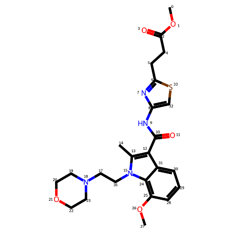 COC(=O)CCc1nc(NC(=O)c2c(C)n(CCN3CCOCC3)c3c(OC)cccc23)cs1